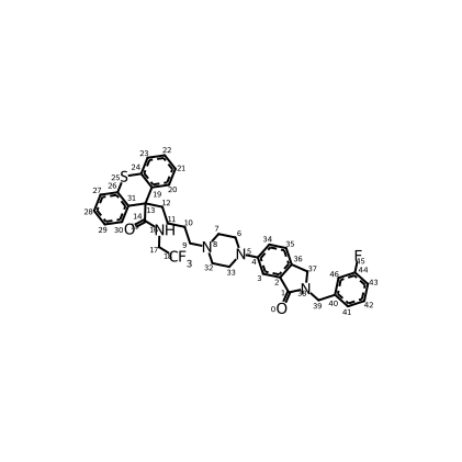 O=C1c2cc(N3CCN(CCCCC4(C(=O)NCC(F)(F)F)c5ccccc5Sc5ccccc54)CC3)ccc2CN1Cc1cccc(F)c1